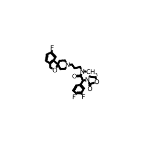 CN(CCCN1CCC2(CC1)OCc1ccc(F)cc12)C(=O)C(c1ccc(F)c(F)c1)N1CCOC1=O